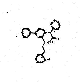 NC(=O)C(c1cccnc1)c1ccc(-c2ccccc2)nc1NCCc1ccccc1F